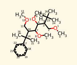 COCC(C(OC)C(OC)C(COC)C(C)(C)c1ccccc1)C(C)(C)C